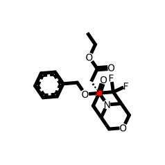 CCOC(=O)C[C@H]1CC2COCC(N2C(=O)OCc2ccccc2)C1(F)F